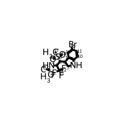 CC(=O)NC(C(C1CNc2ccc(Br)cc21)S(C)(=O)=O)C(F)(F)F